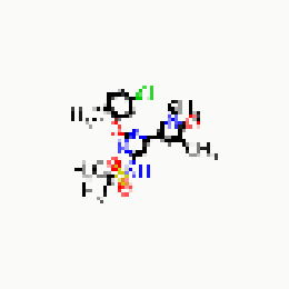 Cc1ccc(Cl)cc1Oc1nc(NS(=O)(=O)C(C)C)cc(-c2cc(C)c(=O)n(C)c2)n1